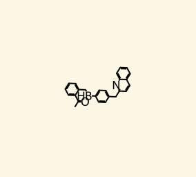 CC(=O)c1ccccc1CBc1ccc(Cc2ccc3ccccc3n2)cc1